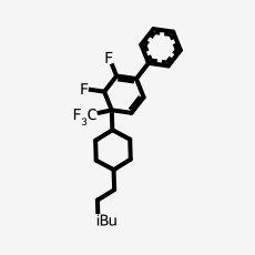 CCC(C)CCC1CCC(C2(C(F)(F)F)C=CC(c3ccccc3)=C(F)C2F)CC1